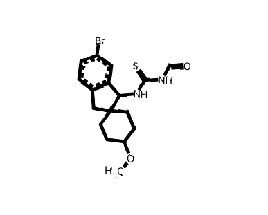 COC1CCC2(CC1)Cc1ccc(Br)cc1C2NC(=S)NC=O